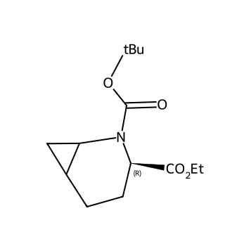 CCOC(=O)[C@H]1CCC2CC2N1C(=O)OC(C)(C)C